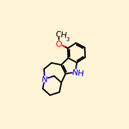 COc1cccc2[nH]c3c(c12)CCN1CCCC3C1